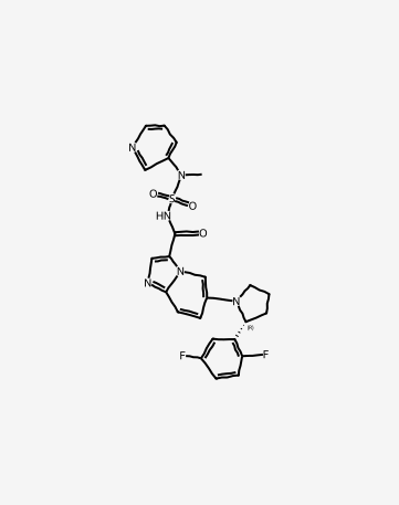 CN(c1cccnc1)S(=O)(=O)NC(=O)c1cnc2ccc(N3CCC[C@@H]3c3cc(F)ccc3F)cn12